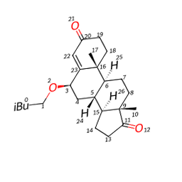 CCC(C)CO[C@@H]1C[C@@H]2[C@H](CC[C@]3(C)C(=O)CC[C@@H]23)[C@@]2(C)CCC(=O)C=C12